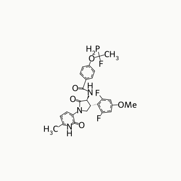 COc1cc(F)c([C@@H]2CN(c3ccc(C)[nH]c3=O)C(=O)[C@H]2NC(=O)c2ccc(OC(C)(F)P)cc2)c(F)c1